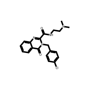 CN(C)CCNC(=O)c1nc2ccccc2c(=O)n1Cc1ccc(Cl)cc1